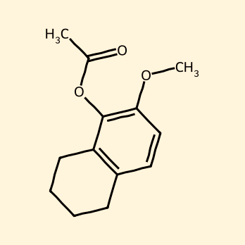 COc1ccc2c(c1OC(C)=O)CCCC2